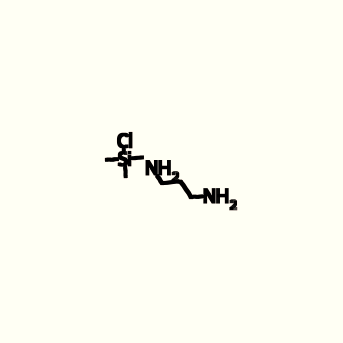 C[Si](C)(C)Cl.NCCCN